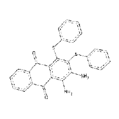 Nc1c(N)c2c(c(Sc3ccccc3)c1Sc1ccccc1)C(=O)c1ccccc1C2=O